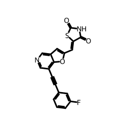 O=C1NC(=O)/C(=C/c2cc3cncc(C#Cc4cccc(F)c4)c3o2)S1